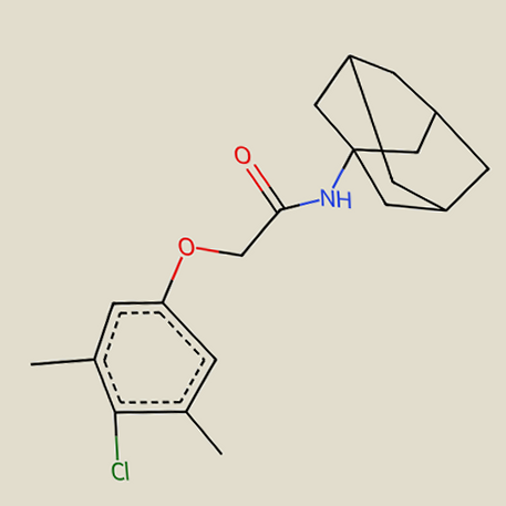 Cc1cc(OCC(=O)NC23CC4CC(CC(C4)C2)C3)cc(C)c1Cl